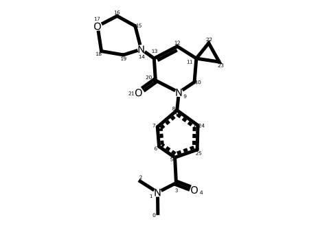 CN(C)C(=O)c1ccc(N2CC3(C=C(N4CCOCC4)C2=O)CC3)cc1